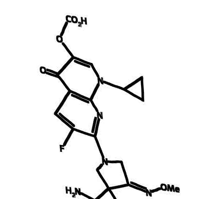 CO/N=C1\CN(c2nc3c(cc2F)c(=O)c(OC(=O)O)cn3C2CC2)CC1(C)CN